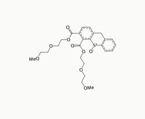 COCCOCCOC(=O)c1ccc2c(c1C(=O)OCCOCCOC)[S+]([O-])c1ccccc1C2